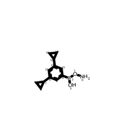 NOB(O)c1cc(C2CC2)cc(C2CC2)c1